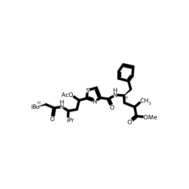 CC[C@H](C)CC(=O)NC(CC(OC(C)=O)c1nc(C(=O)N[C@@H](Cc2ccccc2)CC(C)C(=O)OC)cs1)C(C)C